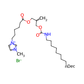 C=C(COC(=O)CCCCC[n+]1ccn(C)c1)COC(=O)NCCCCCCCCCCCCCCCCCC.[Br-]